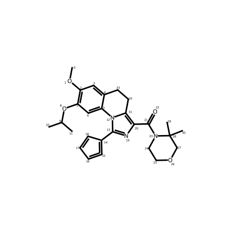 COc1cc2c(cc1OC(C)C)-n1c(C3=C=CC=C3)nc(C(=O)N3CCOCC3(C)C)c1CC2